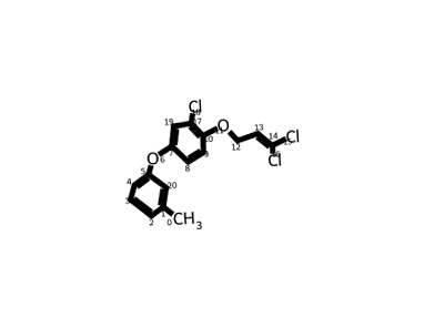 Cc1cccc(Oc2ccc(OCC=C(Cl)Cl)c(Cl)c2)c1